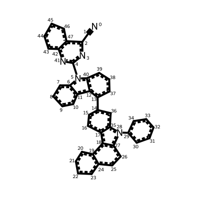 N#Cc1nc(-n2c3ccccc3c3c(-c4ccc5c6c7ccccc7ccc6n(-c6ccccc6)c5c4)cccc32)nc2ccccc12